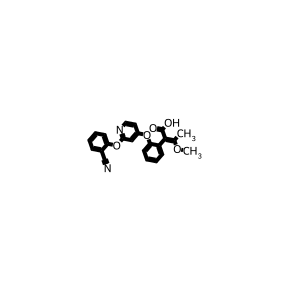 COC(C)=C(C(=O)O)c1ccccc1Oc1ccnc(Oc2ccccc2C#N)c1